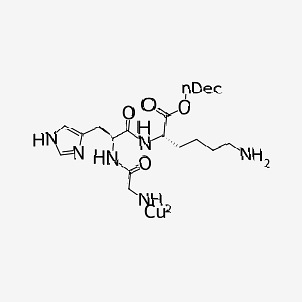 CCCCCCCCCCOC(=O)[C@H](CCCCN)NC(=O)[C@H](Cc1c[nH]cn1)NC(=O)CN.[Cu]